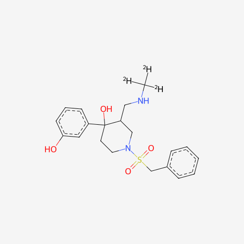 [2H]C([2H])([2H])NCC1CN(S(=O)(=O)Cc2ccccc2)CCC1(O)c1cccc(O)c1